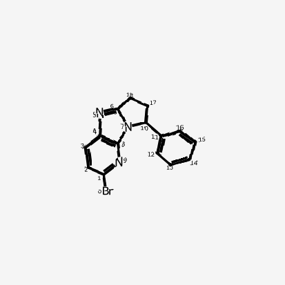 Brc1ccc2nc3n(c2n1)C(c1ccccc1)CC3